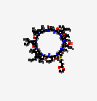 C/C=C/C[C@@H](C)C[C@@H]1C(=O)N[C@H](CC)C(=O)N(C)[C@H](CSCCCC(=O)OC)C(=O)N(C)[C@@H](CC(C)(C)O)C(=O)N[C@H](C(C)C)C(=O)N(C)[C@H](CCC(C)C)C(=O)N[C@H](C)C(=O)N[C@@H](C)C(=O)N(C)[C@@H](CC(C)C)C(=O)N(C)[C@H](CCC(C)C)C(=O)N(C)[C@H](C(C)C)C(=O)N1C